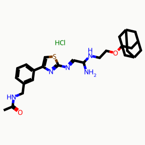 CC(=O)NCc1cccc(-c2csc(N=CC(N)NCCOC34CC5CC(CC(C5)C3)C4)n2)c1.Cl